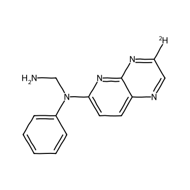 [2H]c1cnc2ccc(N(CN)c3ccccc3)nc2n1